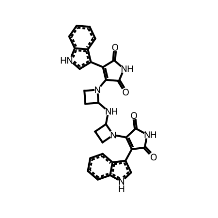 O=C1NC(=O)C(N2CCC2NC2CCN2C2=C(c3c[nH]c4ccccc34)C(=O)NC2=O)=C1c1c[nH]c2ccccc12